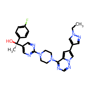 CCn1cc(-c2cc3c(N4CCN(c5ncc([C@@](C)(O)c6ccc(F)cc6)cn5)CC4)ncnn3c2)cn1